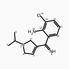 CC(C)N1CC=C(C(=N)c2cccc(Cl)c2N)C1